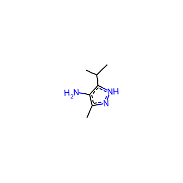 Cc1n[nH]c(C(C)C)c1N